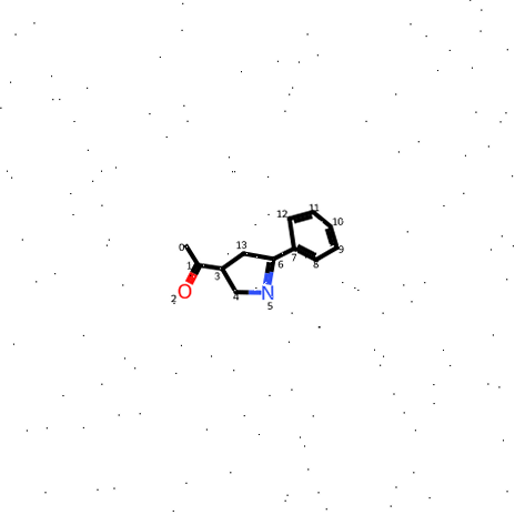 CC(=O)C1CN=C(c2ccccc2)C1